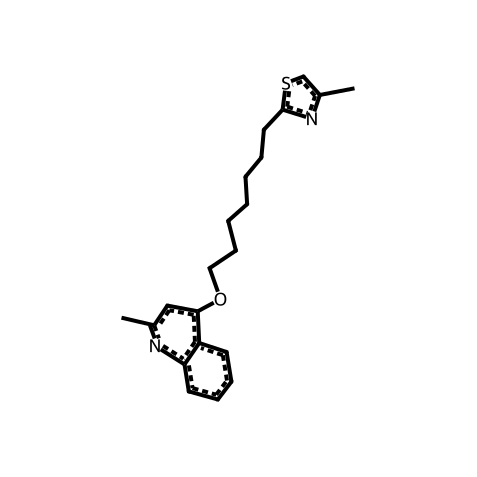 Cc1csc(CCCCCCCOc2cc(C)nc3ccccc23)n1